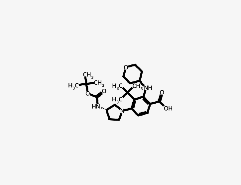 CC(C)(C)OC(=O)N[C@H]1CCN(c2ccc(C(=O)O)c(NC3CCOCC3)c2C(C)(C)C)C1